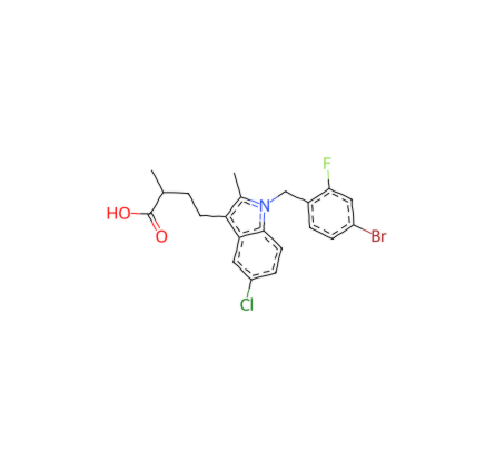 Cc1c(CCC(C)C(=O)O)c2cc(Cl)ccc2n1Cc1ccc(Br)cc1F